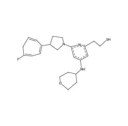 FC1=CC=C(C2CCN(c3cc(NC4CCOCC4)cc(CCS)n3)C2)C=CC1